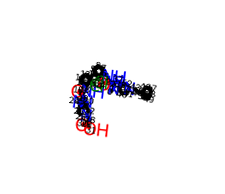 Cn1c(C(=O)Nc2cccc(-c3cccc(NC(=O)c4nc5c(n4C)CCN(CC(=O)O)C5)c3Cl)c2Cl)nc2c1CCN(CCC13CCC(CC1)C3)C2